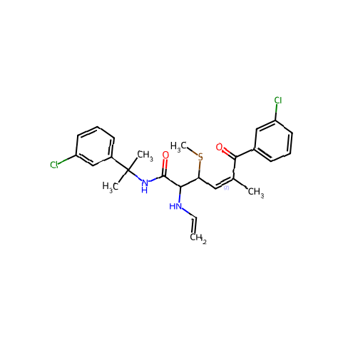 C=CNC(C(=O)NC(C)(C)c1cccc(Cl)c1)C(/C=C(/C)C(=O)c1cccc(Cl)c1)SC